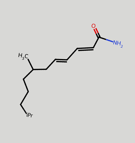 CC(C)CCCC(C)CC=CC=CC(N)=O